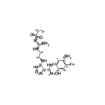 Bc1cc(N/C(=N\O)c2nonc2NCCN/C(N)=N/S(=O)(=O)CC)ccc1F